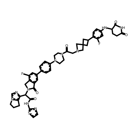 O=C1CCC(Nc2ccc(C3CC4(C3)CN(CC(=O)N3CCN(c5ccc(-c6cc(F)c7c(c6)C(=O)N(C(C(=O)Nc6nccs6)c6ncn8c6CCC8)C7)cc5)CC3)C4)c(F)c2)C(=O)N1